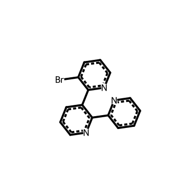 Brc1cccnc1-c1cccnc1-c1ccccn1